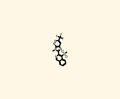 Cn1c(-c2ncc3ccccc3c2S(C)(=O)=O)nc2cc(C(F)(F)F)nnc21